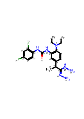 CC(C)CN(CC(C)C)c1ccc(C(C)/C(=N/N)NN)cc1NC(=O)Nc1ccc(F)cc1F